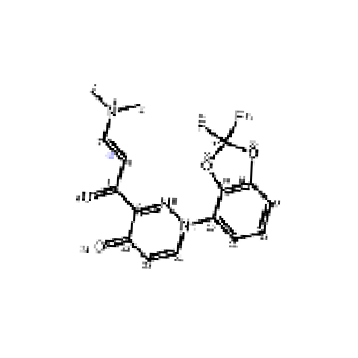 CN(C)/C=C/C(=O)c1nn(-c2cccc3c2OC(F)(F)O3)ccc1=O